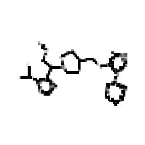 O=NCC(c1scnc1C(F)F)N1CCC(COc2nnnn2-c2ccccc2)CC1